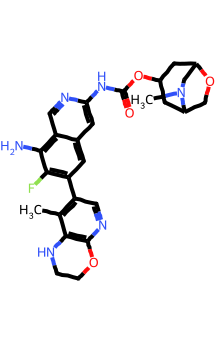 Cc1c(-c2cc3cc(NC(=O)OC4CC5CN(C)C(CO5)C4)ncc3c(N)c2F)cnc2c1NCCO2